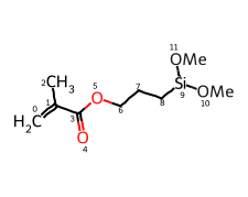 C=C(C)C(=O)OCCC[Si](OC)OC